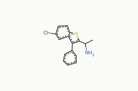 CC(N)c1sc2ccc(Cl)cc2c1-c1ccccc1